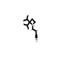 CC(C)C1(C(C)C)CCN1CCC#N